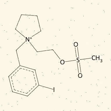 CS(=O)(=O)OCC[N+]1(Cc2cccc(I)c2)CCCC1